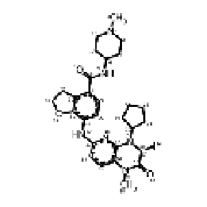 CN1CCC(NC(=O)c2ccc(Nc3ncc4c(n3)N(C3CCCC3)[C@@H](I)C(=O)N4C)c3c2CCO3)CC1